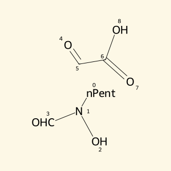 CCCCCN(O)C=O.O=CC(=O)O